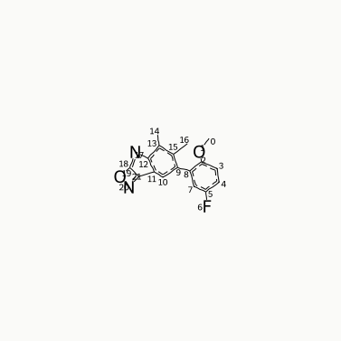 COc1ccc(F)cc1-c1cc2c(c(C)c1C)N=C1ON=C12